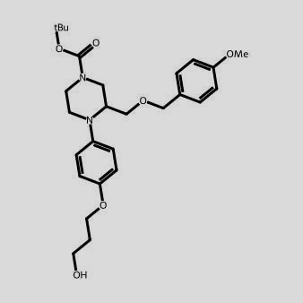 COc1ccc(COCC2CN(C(=O)OC(C)(C)C)CCN2c2ccc(OCCCO)cc2)cc1